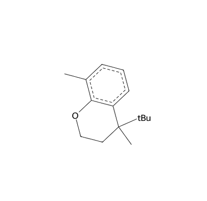 Cc1cccc2c1OCCC2(C)C(C)(C)C